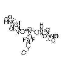 COC(=O)N[C@H](C(=O)N1CCC[C@H]1c1nc2ccc([C@H]3CC[C@H](c4ccc5nc([C@@H]6CCCN6C(=O)[C@@H](NC(=O)OC)C(C)C)[nH]c5c4)N3c3cc(F)c(N4CCC(Cc5ccccc5)CC4)c(F)c3)cc2[nH]1)C(C)C